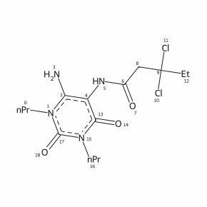 CCCn1c(N)c(NC(=O)CC(Cl)(Cl)CC)c(=O)n(CCC)c1=O